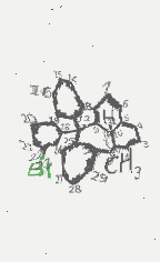 C[C@@]12C=CC=C3C=CC=C([C@H]31)C(c1ccccc1)(c1cccc(Br)c1)c1ccccc12